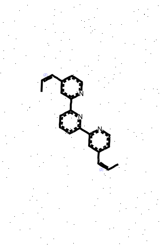 C/C=C\c1ccnc(-c2cccc(-c3cc(/C=C\C)ccn3)n2)c1